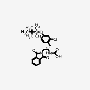 CC(C)(C)[Si](C)(C)Oc1ccc(C[C@@H](CN2C(=O)c3ccccc3C2=O)NC(=O)O)c(Cl)c1